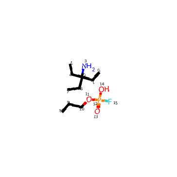 CCC(N)(CC)CC.CCCOP(=O)(O)F